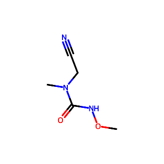 CONC(=O)N(C)CC#N